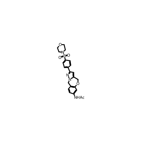 CC(=O)Nc1ccc2c(c1)OCc1cc(-c3ccc(S(=O)(=O)N4CCOCC4)cc3)nn1C2